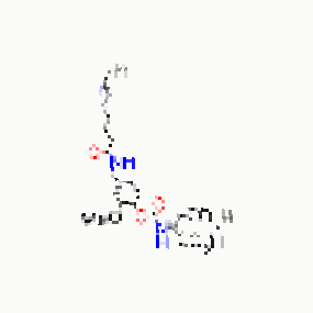 COc1cc(CNC(=O)CCCC/C=C/C(C)C)ccc1OC(=O)N[C@@H](CC(=O)O)C(=O)O